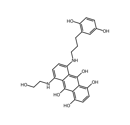 OCCNc1ccc(NCCCc2cc(O)ccc2O)c2c(O)c3c(O)ccc(O)c3c(O)c12